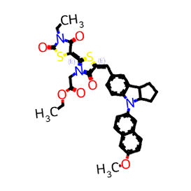 CCOC(=O)Cn1c(=O)/c(=C\c2ccc3c(c2)C2CCCC2N3c2ccc3cc(OC)ccc3c2)s/c1=C1/SC(=O)N(CC)C1=O